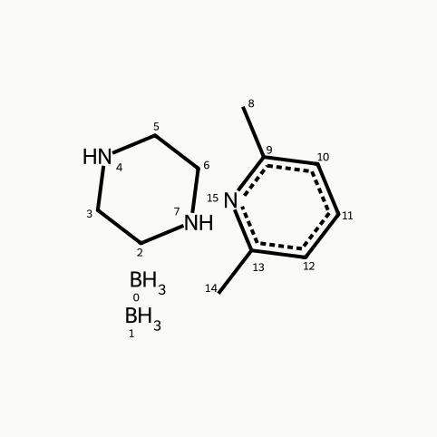 B.B.C1CNCCN1.Cc1cccc(C)n1